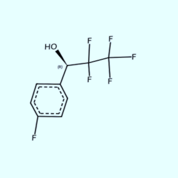 O[C@H](c1ccc(F)cc1)C(F)(F)C(F)(F)F